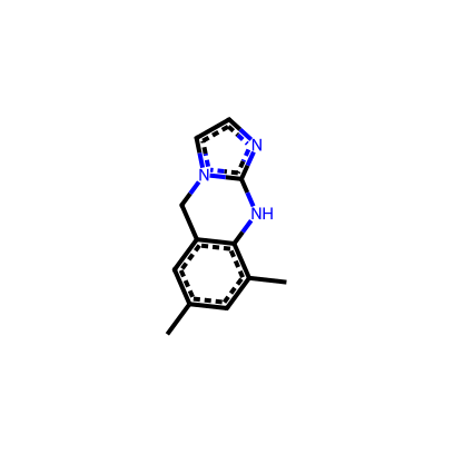 Cc1cc(C)c2c(c1)Cn1ccnc1N2